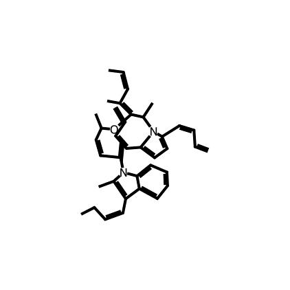 C=C/C=C\c1ccc(/C=C\C=C)n1C(C)/C(OC(C)/C=C\C(=C)n1c(C)c(/C=C\CC)c2ccccc21)=C(C)\C=C/C